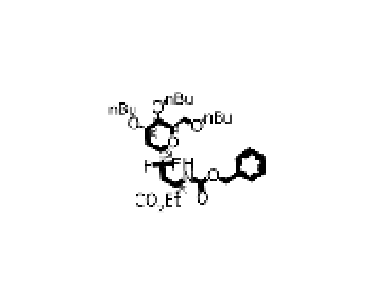 CCCCOC[C@H]1O[C@H](C(F)(F)C[C@H](NC(=O)OCc2ccccc2)C(=O)OCC)C[C@@H](OCCCC)[C@H]1OCCCC